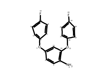 Nc1ccc(Oc2ccc(F)cc2)cc1Oc1ccc(F)cc1